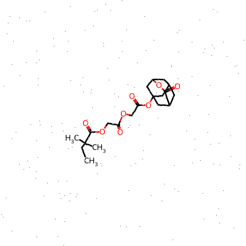 CCC(C)(C)C(=O)OCC(=O)OCC(=O)OC12CC3CC(C1)OC(=O)C(C3)C2